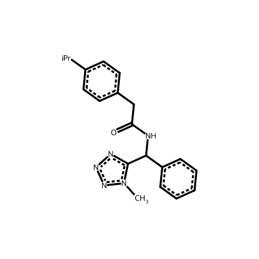 CC(C)c1ccc(CC(=O)NC(c2ccccc2)c2nnnn2C)cc1